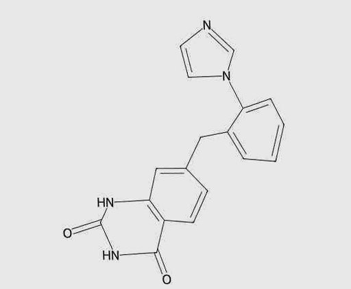 O=c1[nH]c(=O)c2ccc(Cc3ccccc3-n3ccnc3)cc2[nH]1